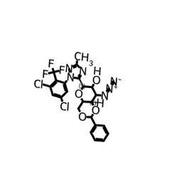 Cc1nc([C@@H]2OC3COC(c4ccccc4)O[C@@H]3C(N=[N+]=[N-])C2O)n(-c2cc(Cl)cc(Cl)c2C(F)(F)F)n1